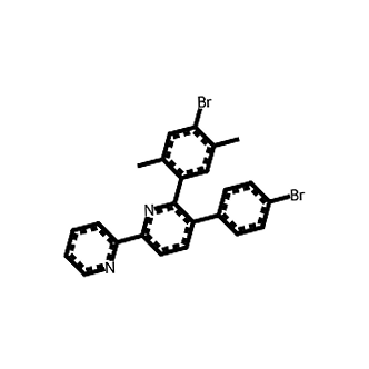 Cc1cc(-c2nc(-c3ccccn3)ccc2-c2ccc(Br)cc2)c(C)cc1Br